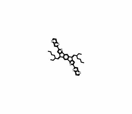 CCCCC(C=C1c2cc3c(cc2-c2sc(-c4cc5sccc5s4)cc21)C(=CC(CC)CCCC)c1cc(-c2cc4sccc4s2)sc1-3)CC